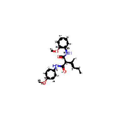 CCC=C(C)C(C(=O)Nc1ccc(OC)cc1)C(=O)Nc1ccccc1OC